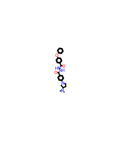 CN(C)C1CCN(c2ccc(C(=O)NNC(=O)c3ccc(Oc4ccccc4)cc3)cc2)C1